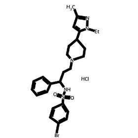 CCn1nc(C)cc1C1CCN(CCC(NS(=O)(=O)c2ccc(Br)cc2)c2ccccc2)CC1.Cl